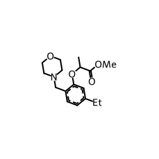 CCc1ccc(CN2CCOCC2)c(OC(C)C(=O)OC)c1